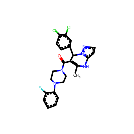 CC1=C(C(=O)N2CCN(c3ccccc3F)CC2)C(c2ccc(Cl)c(Cl)c2)n2nccc2N1